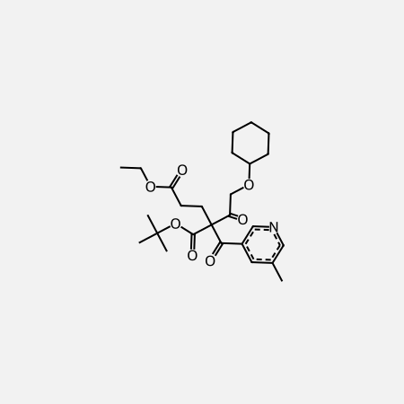 CCOC(=O)CCC(C(=O)COC1CCCCC1)(C(=O)OC(C)(C)C)C(=O)c1cncc(C)c1